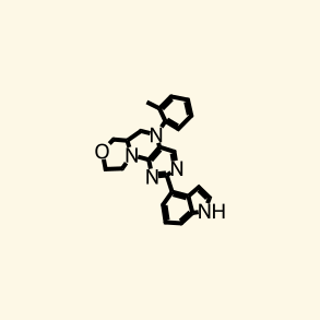 Cc1ccccc1N1CC2COCCN2c2nc(-c3cccc4[nH]ccc34)ncc21